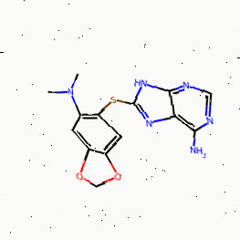 CN(C)c1cc2c(cc1Sc1nc3c(N)ncnc3[nH]1)OCO2